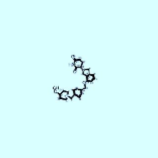 COC1CCN(Cc2ccc(COc3cccc4c3CN(C3CCC(=O)NC3=O)C4)cc2)CC1